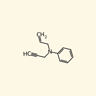 C#CCN(CC=C)c1ccccc1